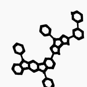 c1ccc(-n2c3ccccc3c3cc4c(cc32)c2cc(-c3cc5c(s3)c3sc(-c6cccc(-c7cccnc7)c6)cc3n5-c3ccccc3)ccc2n4-c2ccccc2)cc1